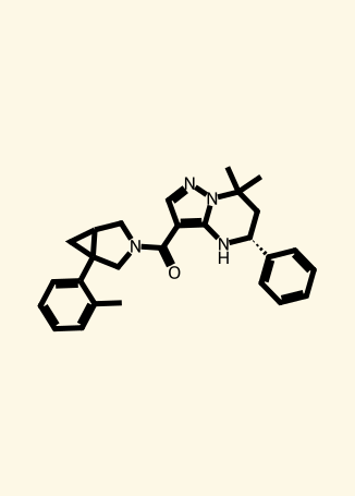 Cc1ccccc1C12CC1CN(C(=O)c1cnn3c1N[C@@H](c1ccccc1)CC3(C)C)C2